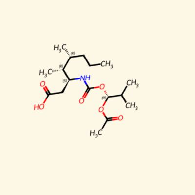 CCC[C@@H](C)[C@@H](C)[C@H](CC(=O)O)NC(=O)O[C@@H](OC(C)=O)C(C)C